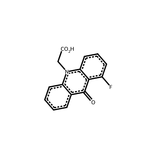 O=C(O)Cn1c2ccccc2c(=O)c2c(F)cccc21